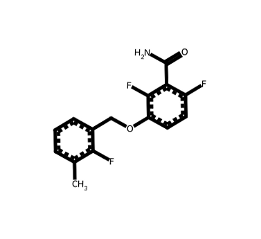 Cc1cccc(COc2ccc(F)c(C(N)=O)c2F)c1F